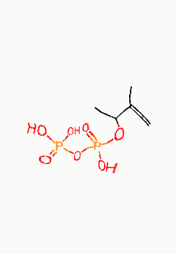 C=C(C)C(C)OP(=O)(O)OP(=O)(O)O